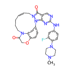 CN1CCN(c2ccc(Nc3ncc4c(=O)n5n(c4n3)-c3ccc4c(c3)N(CCC/C=C\C5)C(=O)CO4)cc2F)CC1